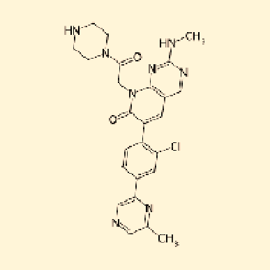 CNc1ncc2cc(-c3ccc(-c4cncc(C)n4)cc3Cl)c(=O)n(CC(=O)N3CCNCC3)c2n1